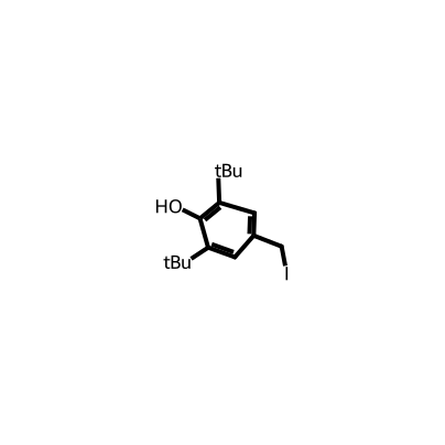 CC(C)(C)c1cc(CI)cc(C(C)(C)C)c1O